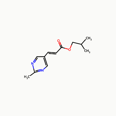 Cc1ncc(/C=C/C(=O)OCC(C)C)cn1